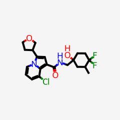 CC1CC(O)(CNC(=O)c2cc(C3CCOC3)n3cccc(Cl)c23)CCC1(F)F